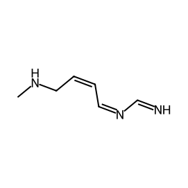 CNC/C=C\C=N/C=N